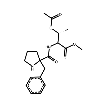 COC(=O)C(NC(=O)C1(Cc2ccccc2)CCCN1)[C@@H](C)OC(C)=O